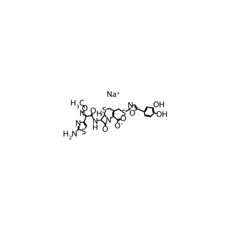 CO/N=C(\C(=O)N[C@@H]1C(=O)N2C(C(=O)[O-])=C(CSc3ncc(-c4ccc(O)c(O)c4)o3)CS[C@H]12)c1csc(N)n1.[Na+]